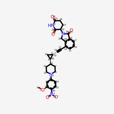 COc1cc(N2CCC([C@H]3C[C@@H]3C#Cc3cccc4c3CN(C3CCC(=O)NC3=O)C4=O)CC2)ccc1[N+](=O)[O-]